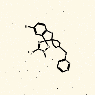 CN1OC2(N=C1N)c1cc(Br)ccc1CC21CCC(Cc2ccccc2)CC1